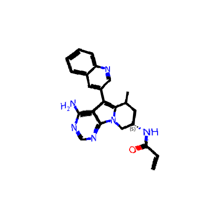 C=CC(=O)N[C@H]1CC(C)c2c(-c3cnc4ccccc4c3)c3c(N)ncnc3n2C1